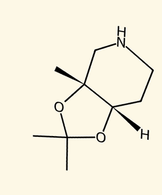 CC1(C)O[C@H]2CCNC[C@@]2(C)O1